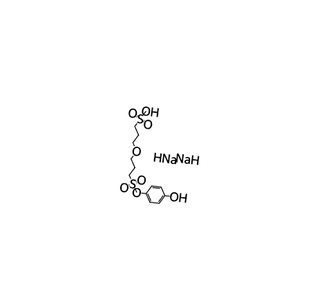 O=S(=O)(O)CCCOCCCS(=O)(=O)Oc1ccc(O)cc1.[NaH].[NaH]